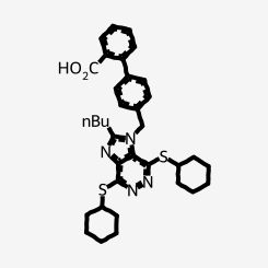 CCCCc1nc2c(SC3CCCCC3)nnc(SC3CCCCC3)c2n1Cc1ccc(-c2ccccc2C(=O)O)cc1